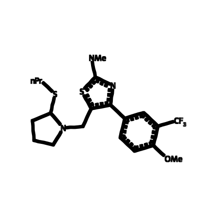 CCCSC1CCCN1Cc1sc(NC)nc1-c1ccc(OC)c(C(F)(F)F)c1